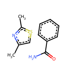 Cc1csc(C)n1.NC(=O)c1ccccc1